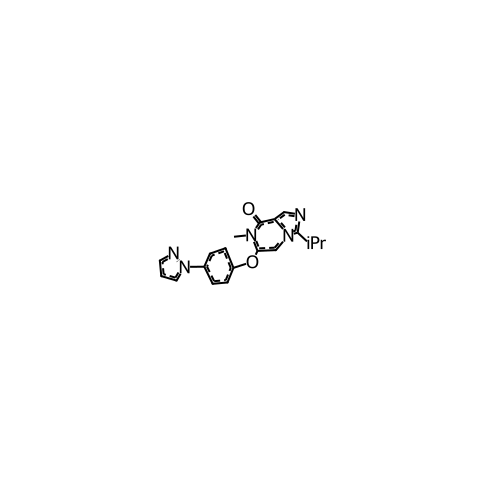 CC(C)c1ncc2c(=O)n(C)c(Oc3ccc(-n4cccn4)cc3)cn12